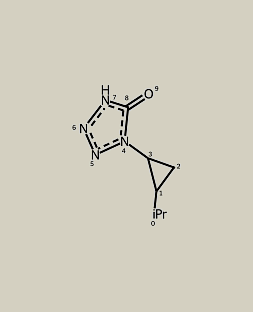 CC(C)C1CC1n1nn[nH]c1=O